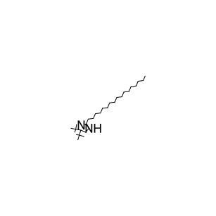 CCCCCCCCCCCCCCCCCC1=NC(C(C)(C)C)(C(C)(C)C)CN1